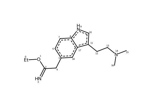 CCOC(=N)Cc1ccc2[nH]cc(CCN(C)C)c2c1